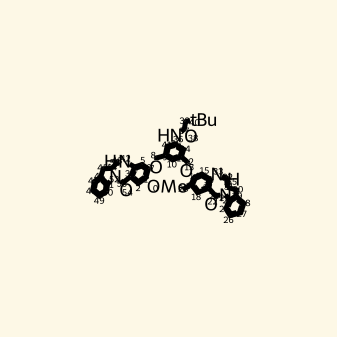 COc1cc2c(cc1OCc1cc(COc3cc4c(cc3C)C(=O)N3c5ccccc5C[C@H]3C=N4)cc(NC(=O)CC(C)(C)C)c1)N=C[C@@H]1Cc3ccccc3N1C2=O